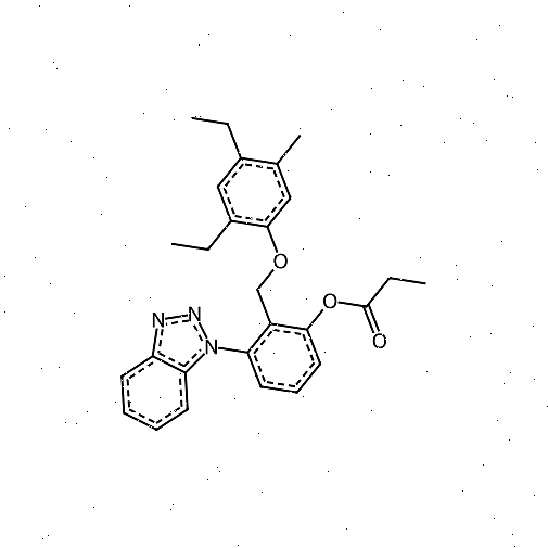 CCC(=O)Oc1cccc(-n2nnc3ccccc32)c1COc1cc(C)c(CC)cc1CC